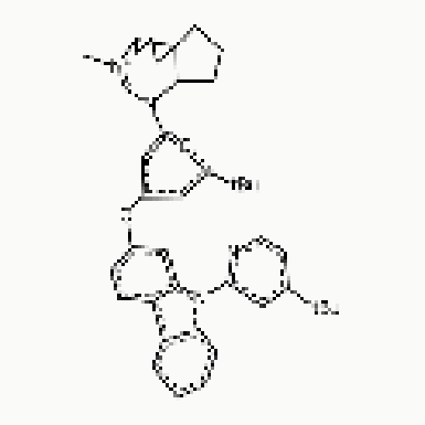 C[N+]1=CN(c2cc(Oc3ccc4c5ccccc5n(-c5cc(C(C)(C)C)ccn5)c4c3)cc(C(C)(C)C)c2)C2CCCC23CCCC13